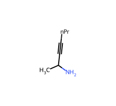 CCCC#CC(C)N